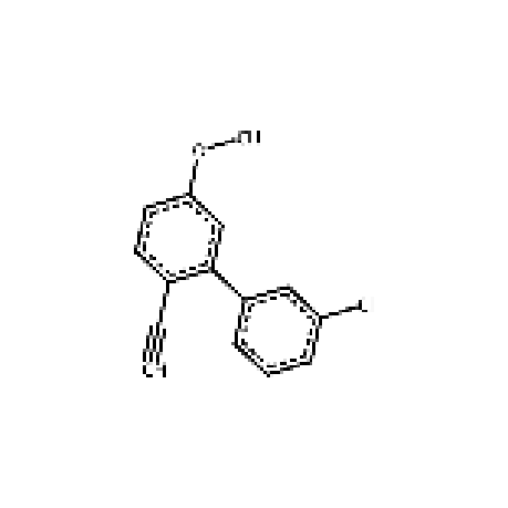 C#Cc1ccc(OC)cc1-c1cccc(Cl)c1